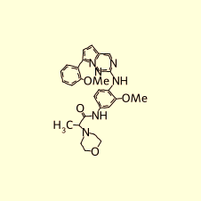 COc1cc(NC(=O)C(C)N2CCOCC2)ccc1Nc1ncc2ccc(-c3ccccc3OC)n2n1